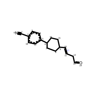 N#Cc1ccc(C2CCC(/C=C/CC=O)CC2)cc1